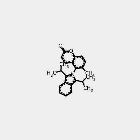 Cc1ccc2oc(=O)ccc2c1-n1c(C(C)C)c2ccccc2c1C(C)C